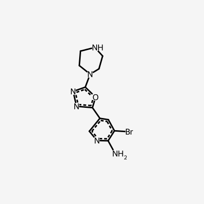 Nc1ncc(-c2nnc(N3CCNCC3)o2)cc1Br